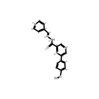 CCOc1ccc(-c2cncc(C(=O)NN=Cc3ccncc3)n2)cc1